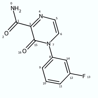 NC(=O)c1nccn(-c2cccc(F)c2)c1=O